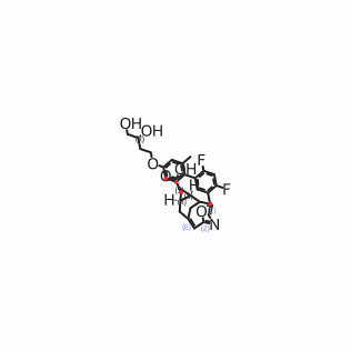 Cc1cc(OCC[C@@H](O)CO)cc(C)c1-c1cc(COC2=N\C=C\C3C/C(=C\2)C[C@H]2[C@H](C(=O)O)[C@@H]32)c(F)cc1F